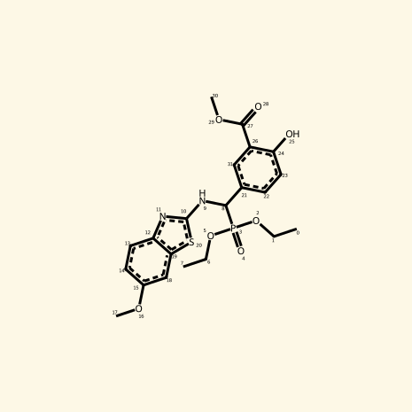 CCOP(=O)(OCC)C(Nc1nc2ccc(OC)cc2s1)c1ccc(O)c(C(=O)OC)c1